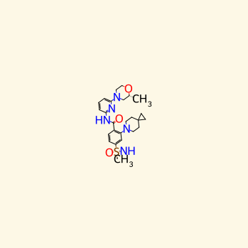 C[C@@H]1CN(c2cccc(NC(=O)c3ccc([S@](C)(=N)=O)cc3N3CCC4(CC3)CC4)n2)CCO1